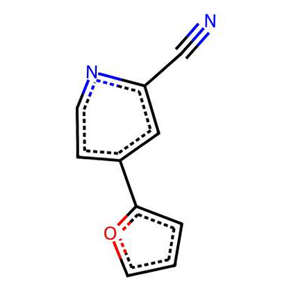 N#Cc1cc(-c2ccco2)ccn1